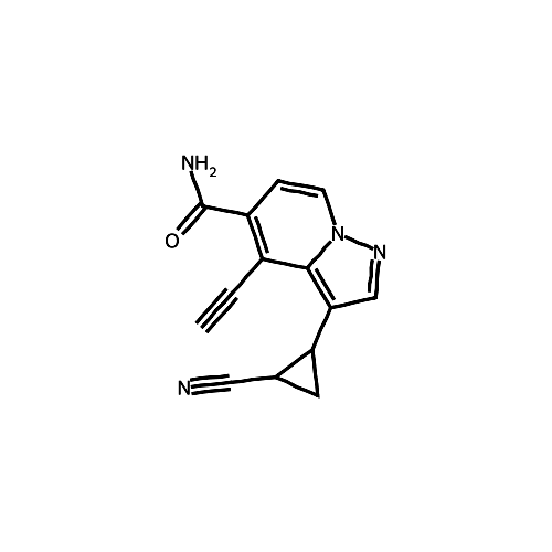 C#Cc1c(C(N)=O)ccn2ncc(C3CC3C#N)c12